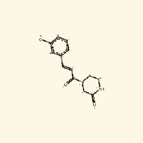 O=C1CN(C(=O)C=Cc2cccc(Cl)c2)CCN1